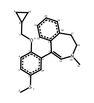 CSc1ccc(OCC2CC2)c(C2=CN(C)CCc3ccccc32)c1